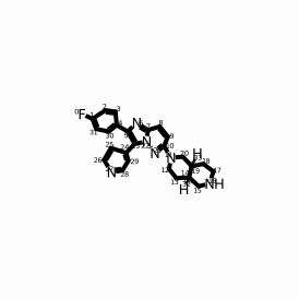 Fc1ccc(-c2nc3ccc(N4CC[C@H]5CNCC[C@H]5C4)nn3c2-c2ccncc2)cc1